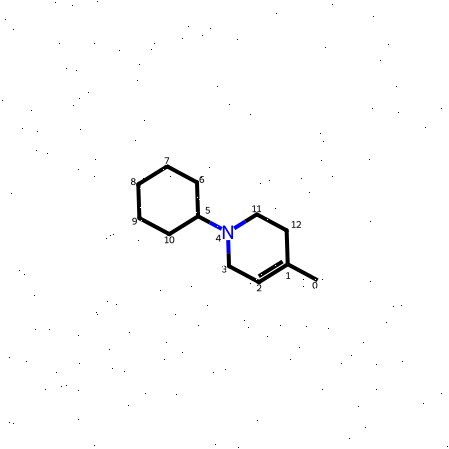 CC1=CCN(C2CCCCC2)CC1